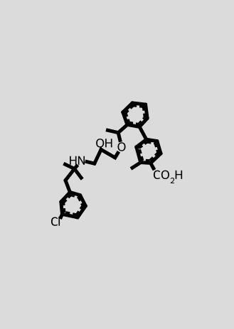 Cc1cc(-c2ccccc2C(C)OC[C@@H](O)CNC(C)(C)Cc2cccc(Cl)c2)ccc1C(=O)O